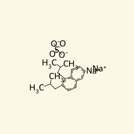 CC(C)Cc1ccc2ccccc2c1CC(C)C.O=S(=O)([O-])[O-].[Na+].[Na+]